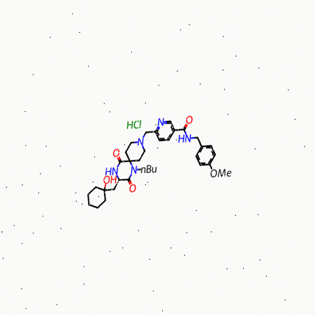 CCCCN1C(=O)[C@@H](CC2(O)CCCCC2)NC(=O)C12CCN(Cc1ccc(C(=O)NCc3ccc(OC)cc3)cn1)CC2.Cl